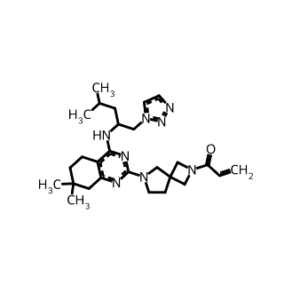 C=CC(=O)N1CC2(CCN(c3nc4c(c(NC(CC(C)C)Cn5ccnn5)n3)CCC(C)(C)C4)C2)C1